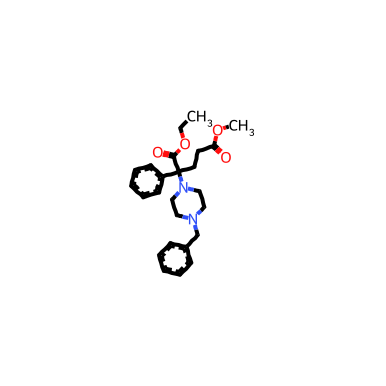 CCOC(=O)C(CCC(=O)OC)(c1ccccc1)N1CCN(Cc2ccccc2)CC1